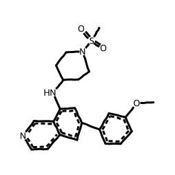 COc1cccc(-c2cc(NC3CCN(S(C)(=O)=O)CC3)c3cnccc3c2)c1